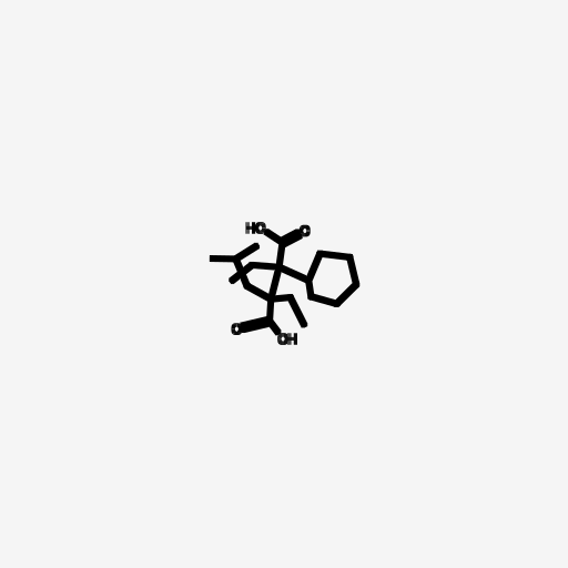 CCC(CC(C)C)(C(=O)O)C(CC)(C(=O)O)C1CCCCC1